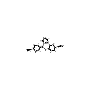 N#Cc1ccc(CN(c2ccc(C#N)cc2)n2cncn2)cc1